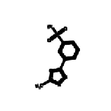 Cc1nnc(-c2cccc(S(=O)(=O)C(C)C)c2)o1